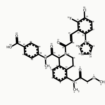 COCC(=O)N(C)c1cccc2c1CCN(C(=O)/C=C/c1c(-n3cnnn3)ccc(Cl)c1F)C2C(=O)N(C)c1ccc(C(=O)O)cc1